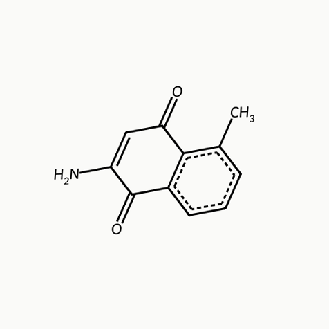 Cc1cccc2c1C(=O)C=C(N)C2=O